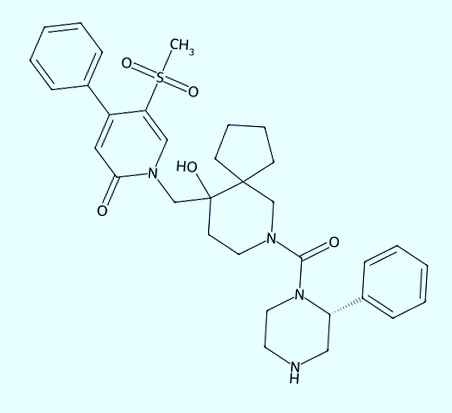 CS(=O)(=O)c1cn(CC2(O)CCN(C(=O)N3CCNC[C@H]3c3ccccc3)CC23CCCC3)c(=O)cc1-c1ccccc1